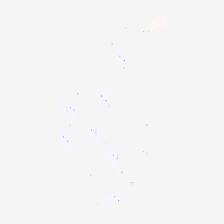 O=C1CCN(c2ccc(Nc3ncc4c5ccncc5n(C5CCCC5)c4n3)nc2)CC1